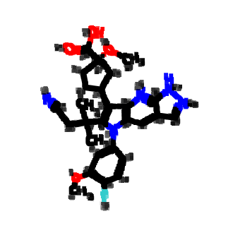 COc1cc(-n2c(C(C)(C)CC#N)c(C3CC[C@@](OC)(C(=O)O)C3)c3nc4[nH]ncc4cc32)ccc1F